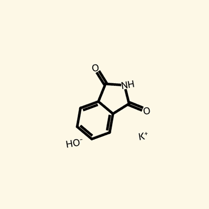 O=C1NC(=O)c2ccccc21.[K+].[OH-]